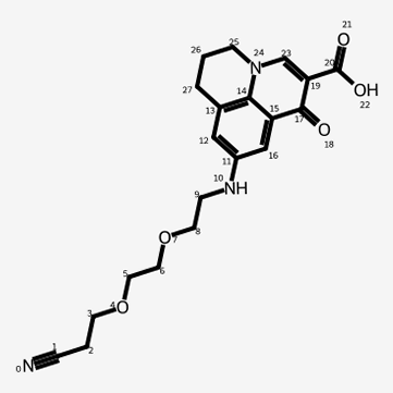 N#CCCOCCOCCNc1cc2c3c(c1)c(=O)c(C(=O)O)cn3CCC2